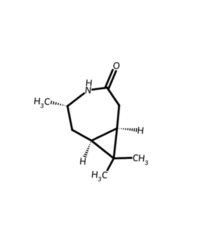 C[C@H]1C[C@H]2[C@@H](CC(=O)N1)C2(C)C